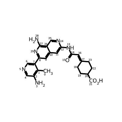 Cc1c(N)cncc1-c1cc2cc(NC(=O)C=C3CCC(C(=O)O)CC3)ncc2c(N)n1